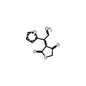 C=C/C(=C1\C(=O)COC1=O)c1ccco1